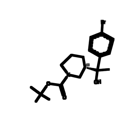 CC(C)(C)OC(=O)N1CCC[C@H](C(C)(O)c2ccc(Br)cc2)C1